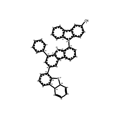 N#Cc1ccc2c(c1)c1ccccc1n2-c1cccc2c1sc1c(-c3ccccc3)cc(-c3cccc4c3SC3C=CC=CC43)cc12